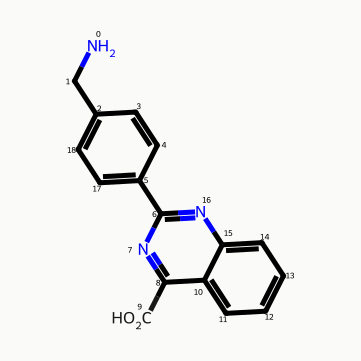 NCc1ccc(-c2nc(C(=O)O)c3ccccc3n2)cc1